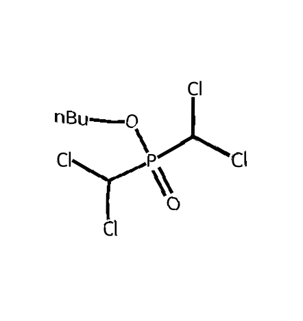 CCCCOP(=O)(C(Cl)Cl)C(Cl)Cl